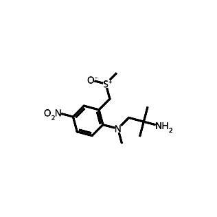 CN(CC(C)(C)N)c1ccc([N+](=O)[O-])cc1C[S+](C)[O-]